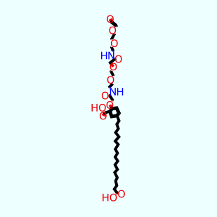 O=C=COCCOCCNC(=O)COCCOCCNC(=O)COc1ccc(CCCCCCCCCCCCCCCCCCC(=O)O)cc1C(=O)O